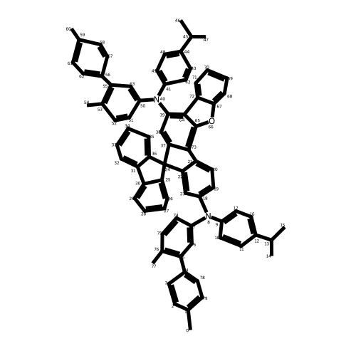 Cc1ccc(-c2cc(N(c3ccc(C(C)C)cc3)c3ccc4c(c3)C3(c5ccccc5-c5ccccc53)c3cc(N(c5ccc(C(C)C)cc5)c5ccc(C)c(-c6ccc(C)cc6)c5)c5c(oc6ccccc65)c3-4)ccc2C)cc1